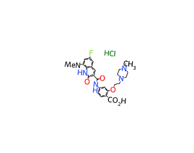 CNc1cc(F)cc2cc(C(=O)Nc3ccc(C(=O)O)c(OCCN4CCN(C)CC4)c3)c(=O)[nH]c12.Cl